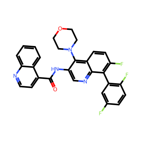 O=C(Nc1cnc2c(-c3cc(F)ccc3F)c(F)ccc2c1N1CCOCC1)c1ccnc2ccccc12